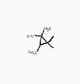 CCOC(=O)C1C(C)(C)C1(C(=O)OCC)C(=O)OCC